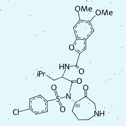 COc1cc2cc(C(=O)NC(CC(C)C)C(=O)N([C@H]3CCCNCC3=O)S(=O)(=O)c3ccc(Cl)cc3)oc2cc1OC